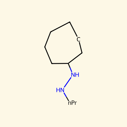 CCCNNC1CCCCCC1